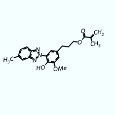 C=C(C)C(=O)OCCCc1cc(OC)c(O)c(-n2nc3ccc(C)cc3n2)c1